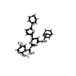 N=C(c1nc(NC2CC3CCC2CC3)cc(-c2ccc(-c3ccccc3)o2)n1)c1cc(F)cnc1N